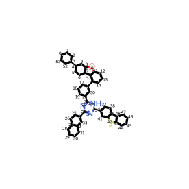 c1ccc(-c2ccc3c(c2)oc2cccc(-c4cccc(C5=NC(c6ccc7ccccc7c6)=NC(c6ccc7c(c6)sc6ccccc67)N5)c4)c23)cc1